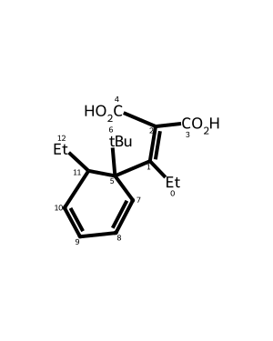 CCC(=C(C(=O)O)C(=O)O)C1(C(C)(C)C)C=CC=CC1CC